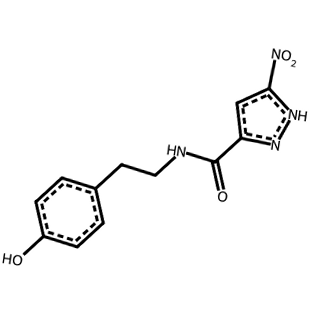 O=C(NCCc1ccc(O)cc1)c1cc([N+](=O)[O-])[nH]n1